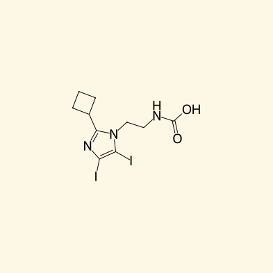 O=C(O)NCCn1c(C2CCC2)nc(I)c1I